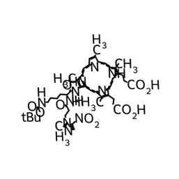 CC1=Cc2cc3[nH]c(cc4nc(cc5[nH]c(cc1n2)c(C)c5CCC(=O)O)C(CCC(=O)O)=C4C)c(NC(=O)C(CCCCNC(=O)OC(C)(C)C)NC(=O)CCn1c([N+](=O)[O-])cnc1C)c3C